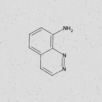 Nc1cccc2ccnnc12